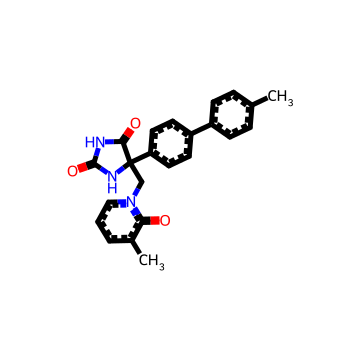 Cc1ccc(-c2ccc(C3(Cn4cccc(C)c4=O)NC(=O)NC3=O)cc2)cc1